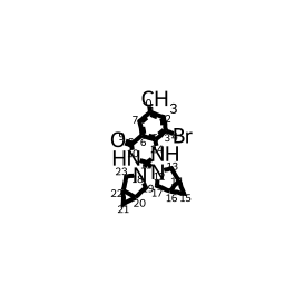 Cc1cc(Br)c2c(c1)C(=O)NC(N1CC3CC3C1)(N1CC3CC3C1)N2